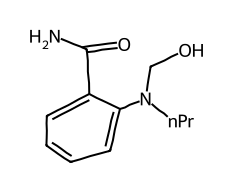 CCCN(CO)c1ccccc1C(N)=O